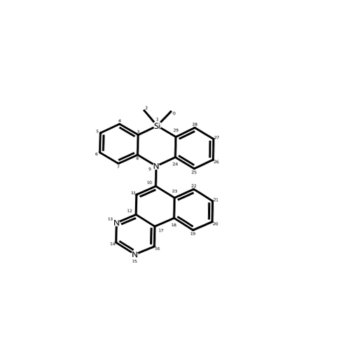 C[Si]1(C)c2ccccc2N(c2cc3ncncc3c3ccccc23)c2ccccc21